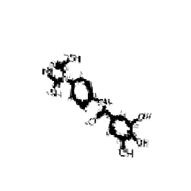 O=C(Nc1ccc(-n2c(S)nnc2S)cc1)c1cc(O)c(O)c(O)c1